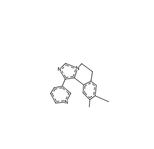 Cc1cc2c(cc1C)-c1c(-c3cccnc3)ncn1CC2